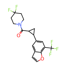 O=C(C1CC1c1cc(C(F)(F)F)c2occc2c1)N1CCC(F)(F)CC1